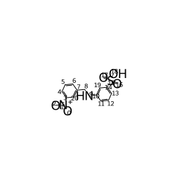 O=[N+]([O-])c1cccc(CNc2cccc(S(=O)(=O)O)c2)c1